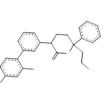 NCCC1(c2ccccc2)CCC(c2cccc(-c3ccc(F)cc3F)c2)C(=O)O1